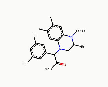 CCOC(=O)N1c2cc(C)c(C)cc2N(C(C(=O)OC)c2cc(C(F)(F)F)cc(C(F)(F)F)c2)CC1CC